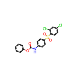 O=C(Nc1ccc(S(=O)(=O)c2ccc(Cl)cc2Cl)cc1)Oc1ccccc1